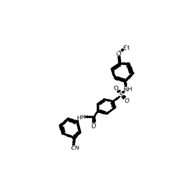 CCOc1ccc(NS(=O)(=O)c2ccc(C(=O)Nc3cccc(C#N)c3)cc2)cc1